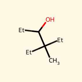 CCC(O)C(C)(CC)CC